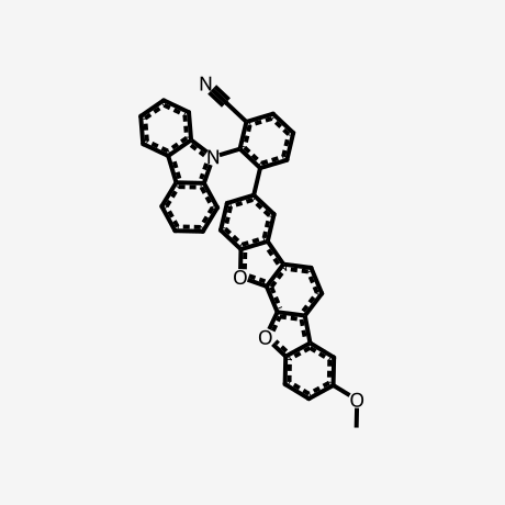 COc1ccc2oc3c(ccc4c5cc(-c6cccc(C#N)c6-n6c7ccccc7c7ccccc76)ccc5oc43)c2c1